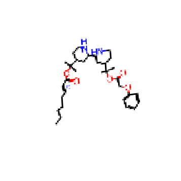 CCCCC/C=C/C(=O)OC(C)(C)C1CCNC(C2CC(C(C)(C)OC(=O)COc3ccccc3)CCN2)C1